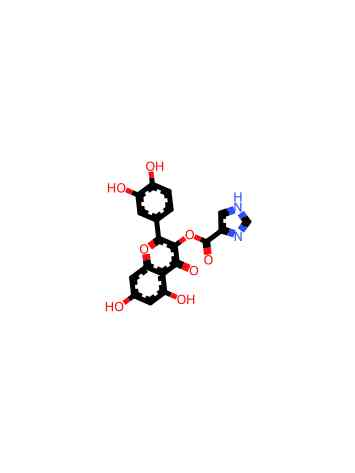 O=C(Oc1c(-c2ccc(O)c(O)c2)oc2cc(O)cc(O)c2c1=O)c1c[nH]cn1